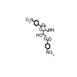 N=C[C@@H](F)C(OC(=O)c1ccc([N+](=O)[O-])cc1)[C@H](O)COC(=O)c1ccc([N+](=O)[O-])cc1